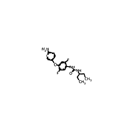 CCC(CC)NC(=O)Nc1cc(F)c(Oc2ccc(N)cc2)cc1F